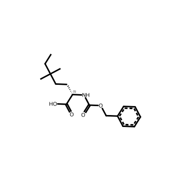 CCC(C)(C)CC[C@H](NC(=O)OCc1ccccc1)C(=O)O